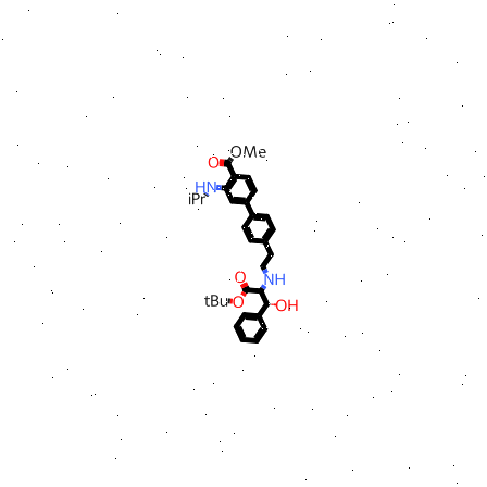 COC(=O)c1ccc(-c2ccc(CCNC(C(=O)OC(C)(C)C)[C@H](O)c3ccccc3)cc2)cc1NC(C)C